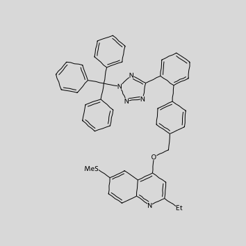 CCc1cc(OCc2ccc(-c3ccccc3-c3nnn(C(c4ccccc4)(c4ccccc4)c4ccccc4)n3)cc2)c2cc(SC)ccc2n1